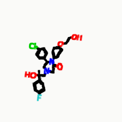 C[C@@](O)(CN1CC(=O)N(c2ccc(OCCO)cc2)[C@H](c2ccc(Cl)cc2)C1)c1ccc(F)cc1